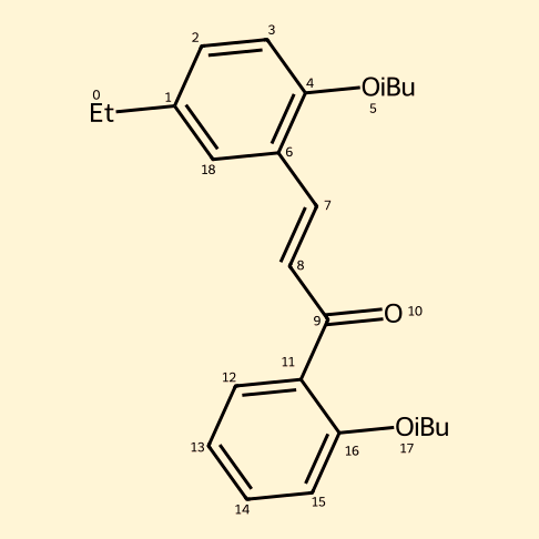 CCc1ccc(OCC(C)C)c(C=CC(=O)c2ccccc2OCC(C)C)c1